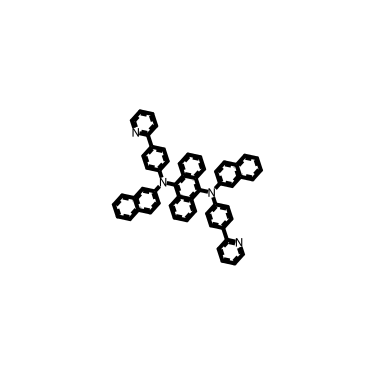 c1ccc(-c2ccc(N(c3ccc4ccccc4c3)c3c4ccccc4c(N(c4ccc(-c5ccccn5)cc4)c4ccc5ccccc5c4)c4ccccc34)cc2)nc1